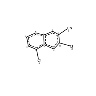 N#Cc1cc2cccc(Cl)c2cc1Cl